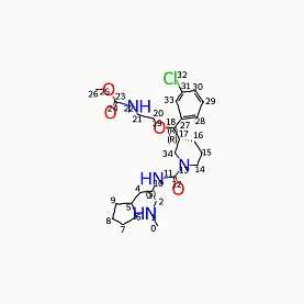 CNC[C@H](CC1CCCC1)NC(=O)N1CCC[C@@H]([C@@H](OCCNC(=O)OC)c2cccc(Cl)c2)C1